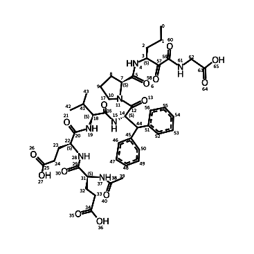 CCC[C@H](NC(=O)[C@@H]1CCCN1C(=O)[C@@H](NC(=O)[C@@H](NC(=O)[C@H](CCC(=O)O)NC(=O)[C@H](CCC(=O)O)NC(C)=O)C(C)C)C(c1ccccc1)c1ccccc1)C(=O)C(=O)NCC(=O)O